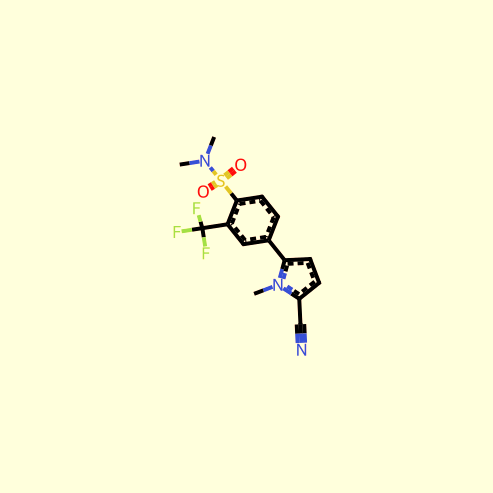 CN(C)S(=O)(=O)c1ccc(-c2ccc(C#N)n2C)cc1C(F)(F)F